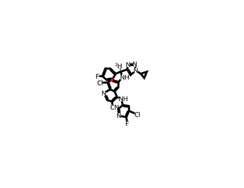 [2H][C@](Nc1cc(Cl)c2ncc(C#N)c(Nc3cnc(F)c(Cl)c3)c2c1)(c1ccc(F)cc1)c1cn(C2CC2)nn1